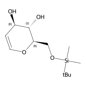 CC(C)(C)[Si](C)(C)OC[C@H]1OC=C[C@@H](O)[C@@H]1O